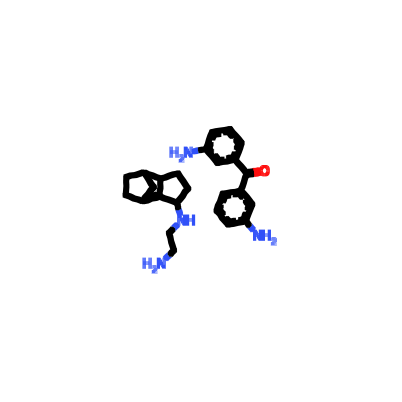 NCCNC1CCC2C1=C1CCC2C1.Nc1cccc(C(=O)c2cccc(N)c2)c1